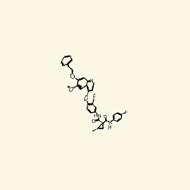 COc1cc2c(Oc3ccc(NC(=O)[C@@]4(C(=O)Nc5ccc(F)cc5)C[C@H]4C)cc3F)ccnc2cc1OCc1ccccc1